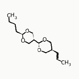 CC=C[C@H]1CO[C@H]([C@H]2CO[C@H](CCCC)OC2)OC1